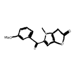 COc1cccc(C(=O)c2cc3c(n2C)CC(=O)O3)c1